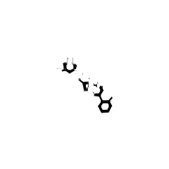 Cc1ccccc1-c1cnc2nc(COc3cncc(F)c3)cn2c1